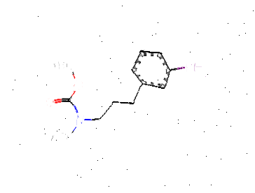 CCCN(CCCc1cccc(P)c1)C(=O)OC(C)(C)C